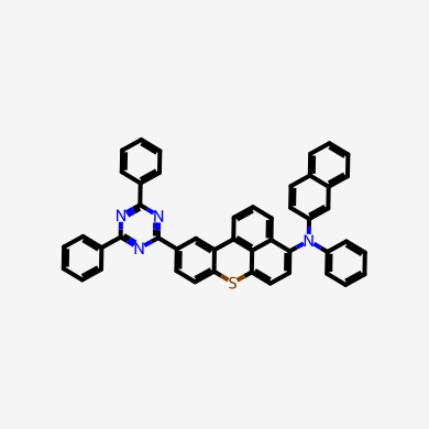 c1ccc(-c2nc(-c3ccccc3)nc(-c3ccc4c(c3)-c3cccc5c(N(c6ccccc6)c6ccc7ccccc7c6)ccc(c35)S4)n2)cc1